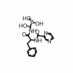 O=C(NC(Cc1ccccc1)C(=O)N[C@@H](O)B(O)O)c1cnccn1